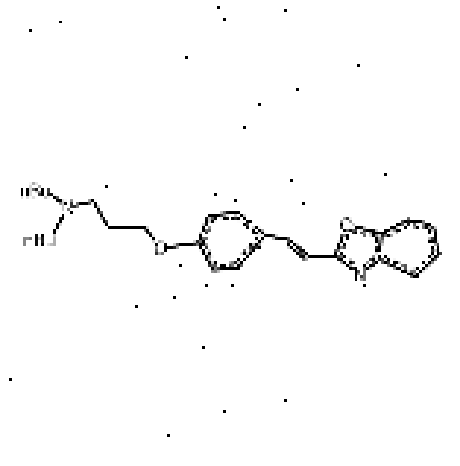 CCCCN(CCCC)CCCOc1ccc(/C=C/c2nc3ccccc3o2)cc1